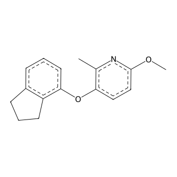 COc1ccc(Oc2cccc3c2CCC3)c(C)n1